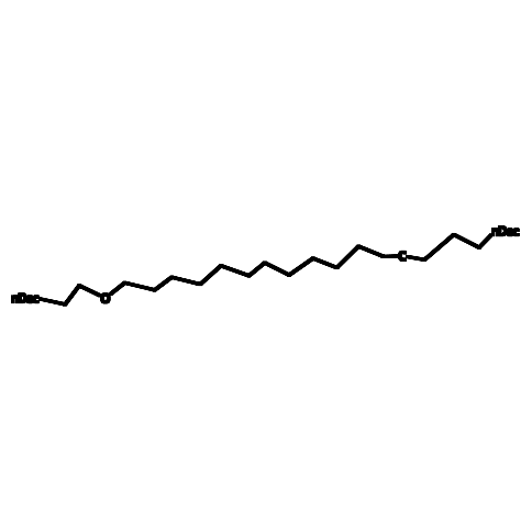 CCCCCCCCCCCCCCCCCCCCCCCCCCOCCCCCCCCCCCC